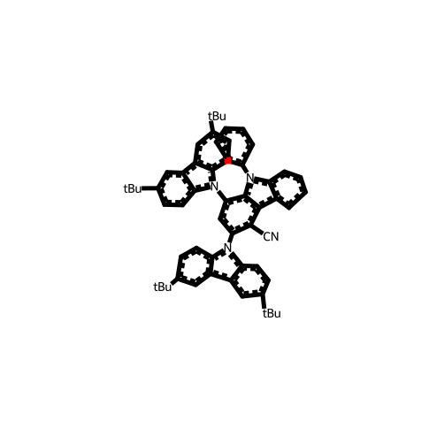 CC(C)(C)c1ccc2c(c1)c1cc(C(C)(C)C)ccc1n2-c1cc(-n2c3ccc(C(C)(C)C)cc3c3cc(C(C)(C)C)ccc32)c2c(c1C#N)c1ccccc1n2-c1ccccc1